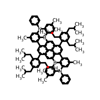 Cc1ccc2c(c1)N(c1ccccc1)c1cc(C)cc3c1B2c1cc2c(-c4c(CC(C)C)cc(CC(C)C)cc4CC(C)C)cc4c5c(cc6c(-c7c(CC(C)C)cc(CC(C)C)cc7CC(C)C)cc-3c1c6c25)B1c2ccc(C)cc2N(c2ccccc2)c2cc(C)cc-4c21